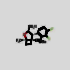 COc1c([C@H]2[C@H](C(=O)O)O[C@]3(C(F)(F)F)CC[C@]23C)ccc(F)c1F